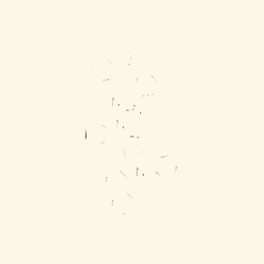 O=C1c2ccccc2-c2nc(-n3c4ccccc4c4c5c6ccc7ccccc7c6n6c7ccccc7c(cc43)c56)nc3cccc1c23